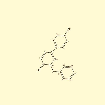 O=c1ccc(-c2ccc(Cl)cc2)nn1Cc1c[c]ccc1